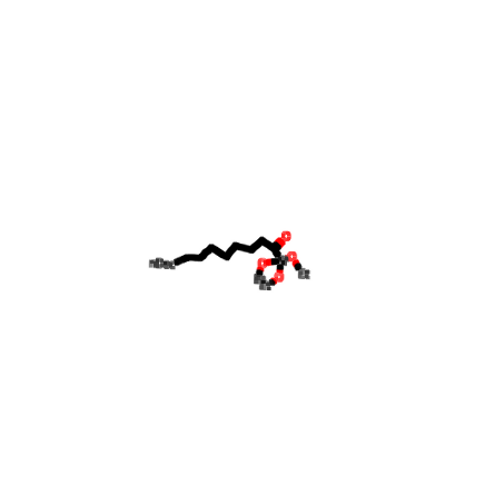 CCCCCCCCCCCCCCCCCC(=O)[Si](OCC)(OCC)OCC